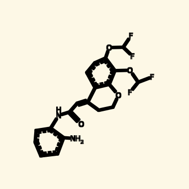 Nc1ccccc1NC(=O)/C=C1\CCOc2c1ccc(OC(F)F)c2OC(F)F